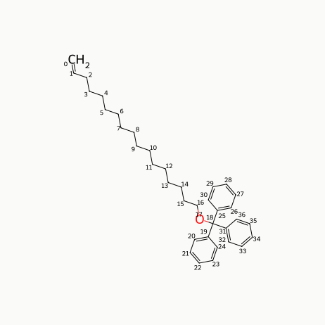 C=CCCCCCCCCCCCCCCCOC(c1ccccc1)(c1ccccc1)c1ccccc1